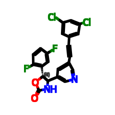 O=C1NC(c2cncc(C#Cc3cc(Cl)cc(Cl)c3)c2)[C@@H](c2cc(F)ccc2F)O1